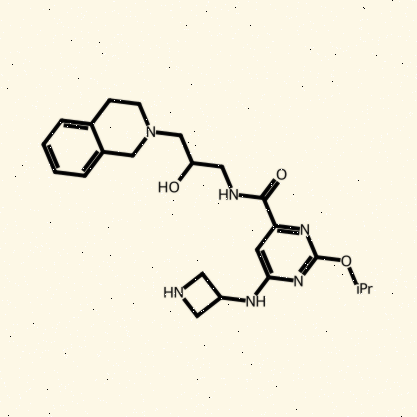 CC(C)Oc1nc(NC2CNC2)cc(C(=O)NCC(O)CN2CCc3ccccc3C2)n1